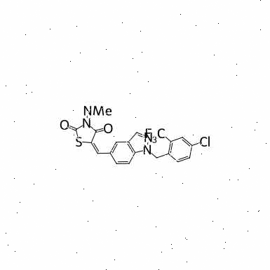 CNN1C(=O)SC(=Cc2ccc3c(cnn3Cc3ccc(Cl)cc3C(F)(F)F)c2)C1=O